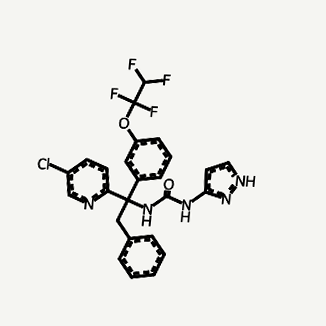 O=C(Nc1cc[nH]n1)NC(Cc1ccccc1)(c1cccc(OC(F)(F)C(F)F)c1)c1ccc(Cl)cn1